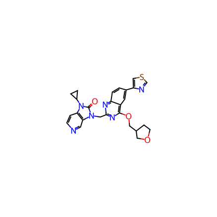 O=c1n(Cc2nc(OCC3CCOC3)c3cc(-c4cscn4)ccc3n2)c2cnccc2n1C1CC1